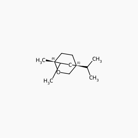 CC(C)[C@@]12CC[C@@](C)(OC1)C(C)C2